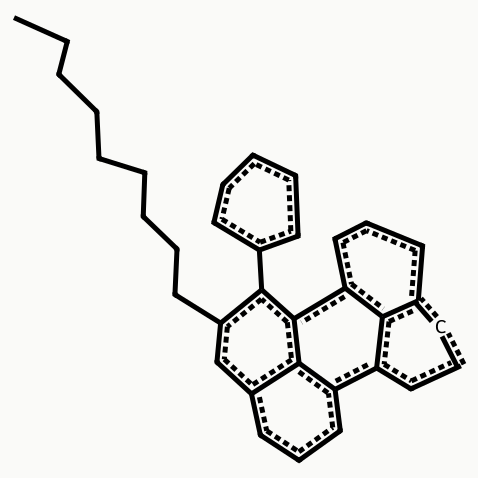 CCCCCCCCCc1cc2cccc3c4cccc5cccc(c(c1-c1ccccc1)c23)c54